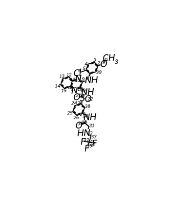 COc1ccc(Cl)c(Nc2nc3ccccc3nc2NS(=O)(=O)c2cccc(NC(=O)CNCC(F)(F)F)c2)c1